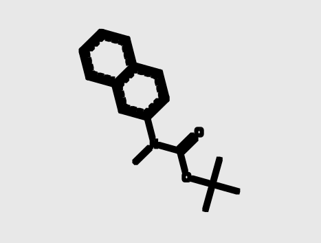 CN(C(=O)OC(C)(C)C)c1ccc2ccccc2c1